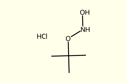 CC(C)(C)ONO.Cl